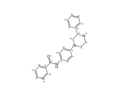 O=C(Nc1ccc(N2CC[N]C(c3ccccc3)C2)cc1)c1cccnc1